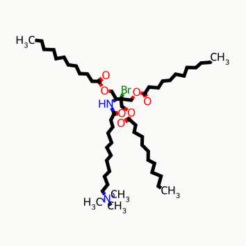 CCCCCCCCCCCC(=O)OCC(NC(=O)CCCCCCCCCCC[N+](C)(C)C)C(Br)(COC(=O)CCCCCCCCCCC)COC(=O)CCCCCCCCCCC